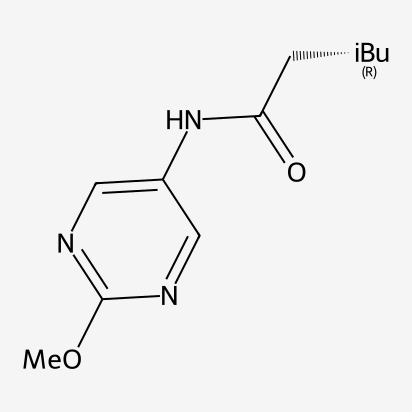 CC[C@@H](C)CC(=O)Nc1cnc(OC)nc1